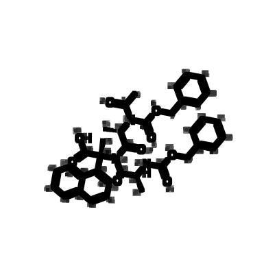 CC(=O)N(C(=O)OCc1ccccc1)[C@@H](C)C(=O)N(C(=O)[C@H](C)NC(=O)OCc1ccccc1)[C@@](C)(C(=O)O)c1cccc2ccccc12